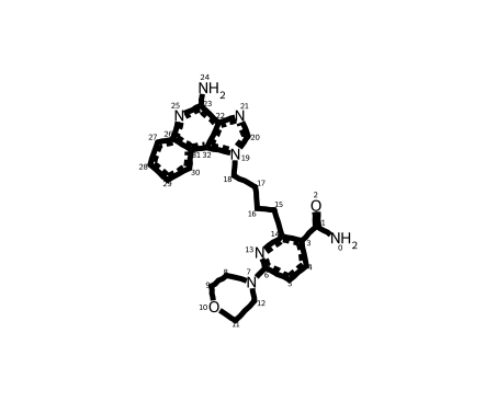 NC(=O)c1ccc(N2CCOCC2)nc1CCCCn1cnc2c(N)nc3ccccc3c21